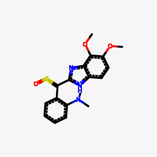 COc1ccc2[nH]c(C(=S=O)c3ccccc3N(C)C)nc2c1OC